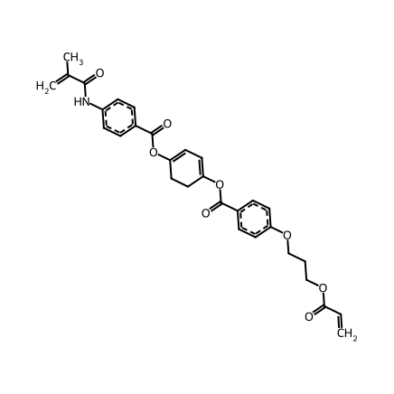 C=CC(=O)OCCCOc1ccc(C(=O)OC2=CC=C(OC(=O)c3ccc(NC(=O)C(=C)C)cc3)CC2)cc1